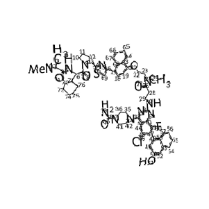 CN[C@@H](C)C(=O)NC(C(=O)N1CCC[C@H]1c1nc(-c2ccc(OCCN(C)C(=O)CCNc3nc(N4CCN(C(N)=O)CC4)c4cc(Cl)c(-c5cc(O)cc6ccccc56)c(F)c4n3)c3ccccc23)cs1)C1CCCCC1